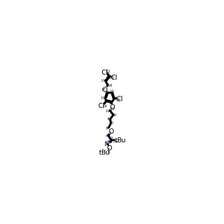 CC(C)(C)O/N=C(/COCCCCCOc1c(Cl)cc(OCC=C(Cl)Cl)cc1Cl)C(C)(C)C